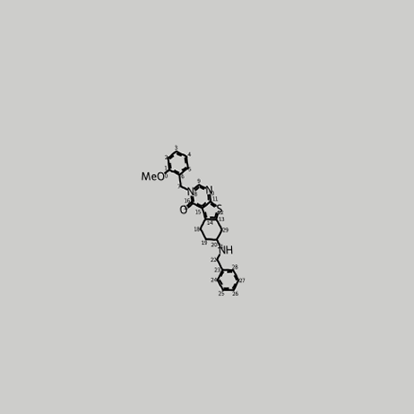 COc1ccccc1Cn1cnc2sc3c(c2c1=O)CCC(NCc1ccccc1)C3